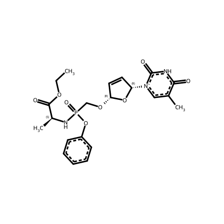 CCOC(=O)[C@H](C)NP(=O)(CO[C@@H]1C=C[C@H](n2cc(C)c(=O)[nH]c2=O)O1)Oc1ccccc1